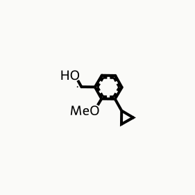 COc1c([CH]O)cccc1C1CC1